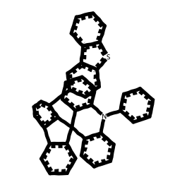 c1ccc(N2c3ccccc3C3(c4ccccc4-c4cccc(-c5ccc6sc7ccccc7c6c5)c43)c3ccccc32)cc1